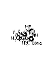 COc1cc(Nc2ncc(F)c(Nc3ccc4c(n3)N(C)C(=O)C(C)(C)O4)n2)cc(OC)c1C